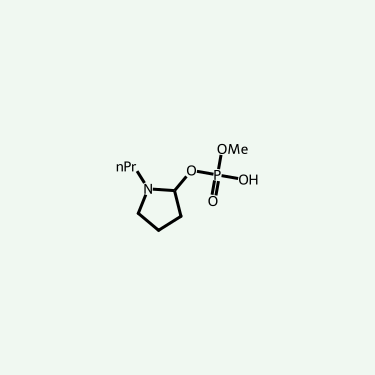 CCCN1CCCC1OP(=O)(O)OC